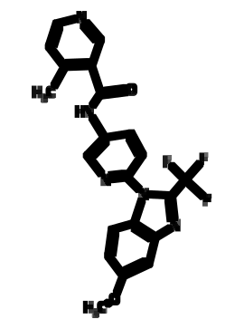 COc1ccc2c(c1)nc(C(F)(F)F)n2-c1ccc(NC(=O)c2cnccc2C)cn1